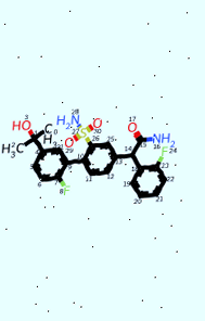 CC(C)(O)c1ccc(F)c(-c2ccc(C(C(N)=O)c3ccccc3F)cc2S(N)(=O)=O)c1